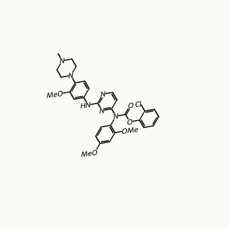 COc1ccc(N(C(=O)Oc2ccccc2Cl)c2ccnc(Nc3ccc(N4CCN(C)CC4)c(OC)c3)n2)c(OC)c1